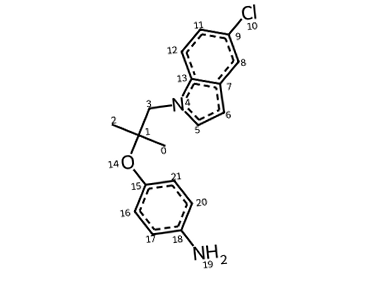 CC(C)(Cn1ccc2cc(Cl)ccc21)Oc1ccc(N)cc1